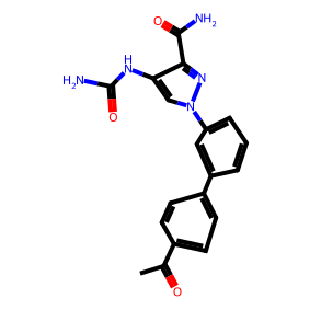 CC(=O)c1ccc(-c2cccc(-n3cc(NC(N)=O)c(C(N)=O)n3)c2)cc1